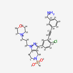 CS(=O)(=O)N1CCc2c(c(-c3ccc(Cl)c(C#Cc4cccc(CN)c4)c3)nn2CCCN2CCOCC2)C1